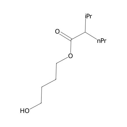 CCCC(C(=O)OCCCCO)C(C)C